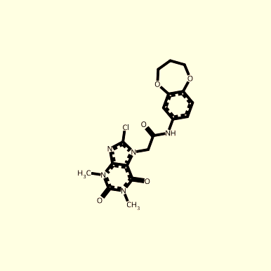 Cn1c(=O)c2c(nc(Cl)n2CC(=O)Nc2ccc3c(c2)OCCCO3)n(C)c1=O